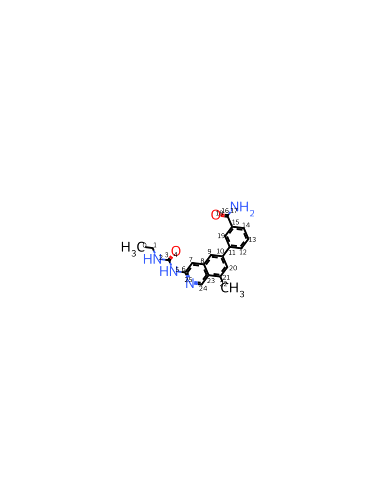 CCNC(=O)Nc1cc2cc(-c3cccc(C(N)=O)c3)cc(C)c2cn1